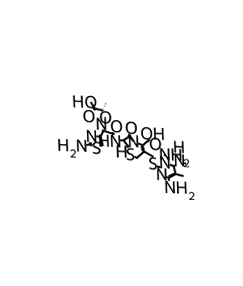 CNC1C(C)=C(N)N=C(SCC2=C(C(=O)O)N3C(=O)C(NC(=O)/C(=N\O[C@@H](C)C(=O)O)c4csc(N)n4)[C@@H]3SC2)N1N